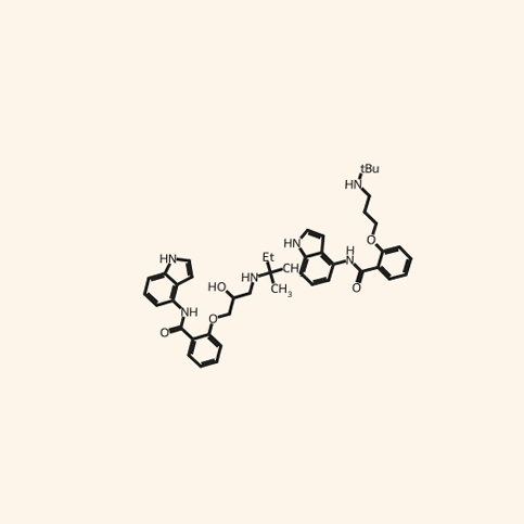 CC(C)(C)NCCCOc1ccccc1C(=O)Nc1cccc2[nH]ccc12.CCC(C)(C)NCC(O)COc1ccccc1C(=O)Nc1cccc2[nH]ccc12